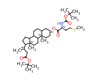 CSCC[C@H](NC(=O)OC(C)(C)C)C(=O)O[C@@H]1CC[C@@]2(C)C(CCC3C2CC[C@@]2(C)C3CCC2[C@H](C)CC(=O)OC(C)(C)C)C1